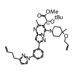 C=CCCc1ccn(-c2cccc(-c3cc4nc(C)c([C@H](OC(C)(C)C)C(=O)OC)c(N5CCC(C)(OCC=C)CC5)n4n3)c2)n1